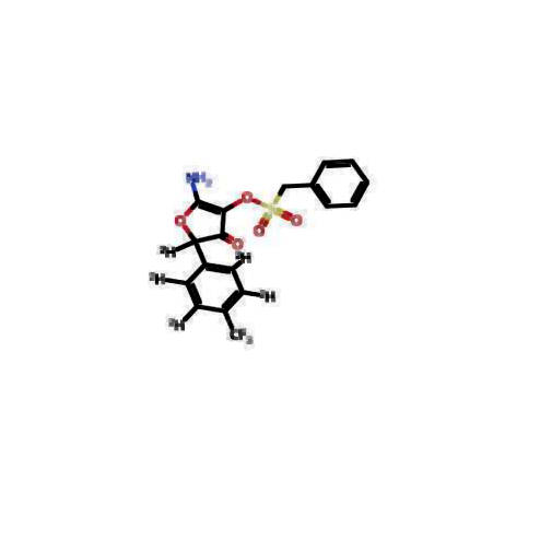 [2H]c1c([2H])c(C2([2H])OC(N)=C(OS(=O)(=O)Cc3ccccc3)C2=O)c([2H])c([2H])c1C(F)(F)F